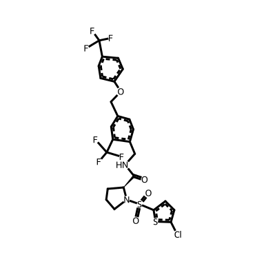 O=C(NCc1ccc(COc2ccc(C(F)(F)F)cc2)cc1C(F)(F)F)[C@@H]1CCCN1S(=O)(=O)c1ccc(Cl)s1